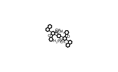 C[Si]1(C)c2cc3c(cc2-c2c1cc(-c1cccc4ccccc14)c1oc4ccccc4c21)[Si](C)(C)c1cc(-c2cccc4ccccc24)c2oc4ccccc4c2c1-3